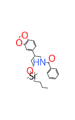 CCCC[Si](C)(C)OCCC(CNC(=O)c1ccccc1)c1ccc2c(c1)OCO2